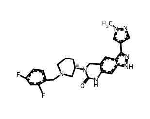 Cn1cc(-c2n[nH]c3cc4c(cc23)CN([C@@H]2CCCN(Cc3ccc(F)cc3F)C2)C(=O)N4)cn1